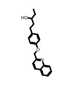 CCC(O)CCc1ccc(OCc2ccc3ccccc3n2)cc1